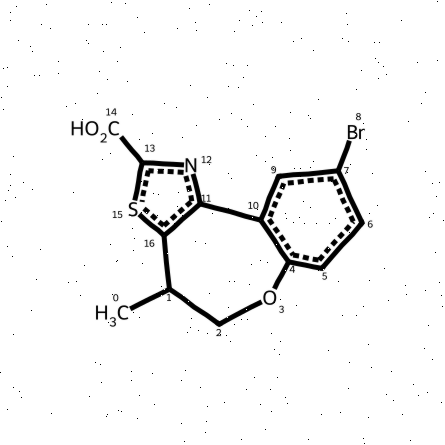 CC1COc2ccc(Br)cc2-c2nc(C(=O)O)sc21